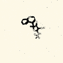 CC(=O)OC1=C(NS(C)(=O)=O)OC(C)(c2ccnc3ccccc23)C1=O